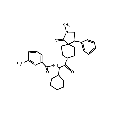 Cc1cccc(C(=O)NC(C(=O)N2CCC3(CC2)C(=O)N(C)CN3c2ccccc2)C2CCCCC2)n1